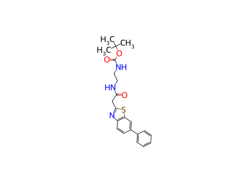 CC(C)(C)OC(=O)NCCNC(=O)Cc1nc2ccc(-c3ccccc3)cc2s1